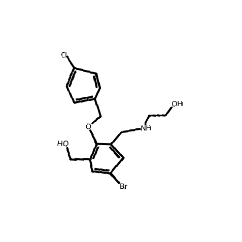 OCCNCc1cc(Br)cc(CO)c1OCc1ccc(Cl)cc1